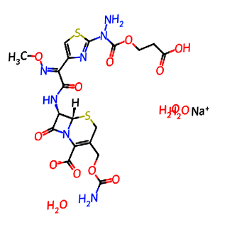 CON=C(C(=O)N[C@@H]1C(=O)N2C(C(=O)[O-])=C(COC(N)=O)CS[C@@H]12)c1csc(N(N)C(=O)OCCC(=O)O)n1.O.O.O.[Na+]